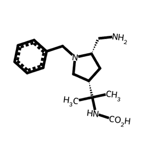 CC(C)(NC(=O)O)[C@H]1C[C@@H](CN)N(Cc2ccccc2)C1